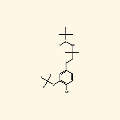 CC(C)(CCc1ccc(O)c(OC(F)(F)F)c1)N[S+]([O-])C(C)(C)C